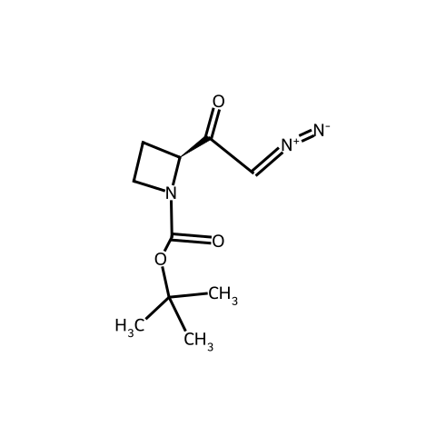 CC(C)(C)OC(=O)N1CC[C@H]1C(=O)C=[N+]=[N-]